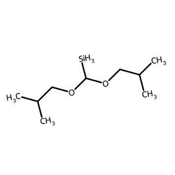 CC(C)COC([SiH3])OCC(C)C